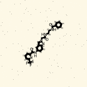 O=C(Cn1cc2cc(NC(=O)c3cccc(C(F)(F)F)n3)ccc2n1)NCCNC(=O)c1ccccc1